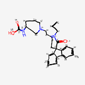 CCCNC(=O)C1(CCCCN2CCCC(NC(=O)O)C2)c2ccccc2-c2ccccc21